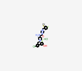 CCSc1cc(F)ccc1CN1CCN(C(=O)C(N)C2CCN(CCc3cc(Cl)ccc3-c3cc(O)cc(F)c3)CC2)CC1.Cl